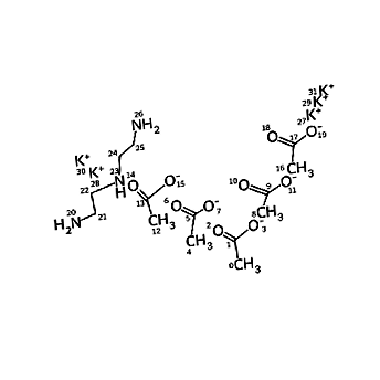 CC(=O)[O-].CC(=O)[O-].CC(=O)[O-].CC(=O)[O-].CC(=O)[O-].NCCNCCN.[K+].[K+].[K+].[K+].[K+]